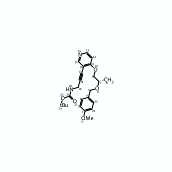 COc1ccc(CO[C@@H](C)COc2ccncc2C#CCNC(=O)OC(C)(C)C)cc1